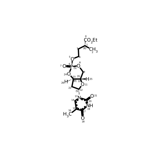 CCOC(=O)[C@H](C)CCO[P@@]1(=O)OC[C@@H]2O[C@H](n3cc(C)c(=O)[nH]c3=O)C[C@H]2O1